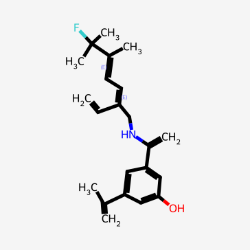 C=C/C(=C\C=C(/C)C(C)(C)F)CNC(=C)c1cc(O)cc(C(=C)C)c1